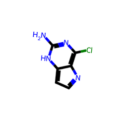 Nc1nc(Cl)c2nccc-2[nH]1